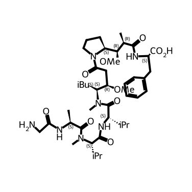 CC[C@H](C)[C@@H]([C@@H](CC(=O)N1CCC[C@H]1[C@H](OC)[C@@H](C)C(=O)N[C@@H](Cc1ccccc1)C(=O)O)OC)N(C)C(=O)[C@@H](NC(=O)[C@H](C(C)C)N(C)C(=O)[C@H](C)NC(=O)CN)C(C)C